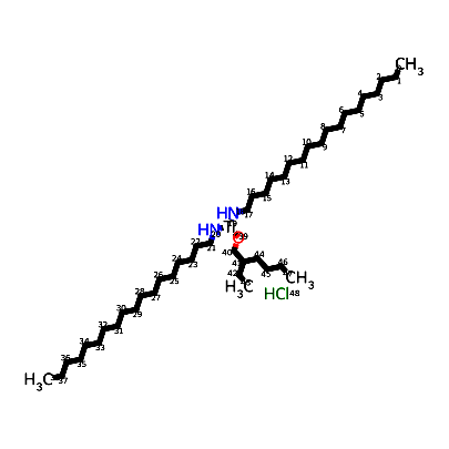 CCCCCCCCCCCCCCCCCC[NH][Ti]([NH]CCCCCCCCCCCCCCCCCC)[O]CC(CC)CCCC.Cl